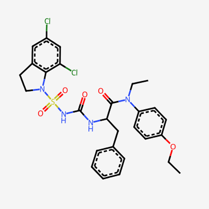 CCOc1ccc(N(CC)C(=O)C(Cc2ccccc2)NC(=O)NS(=O)(=O)N2CCc3cc(Cl)cc(Cl)c32)cc1